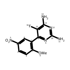 COc1ccc([N+](=O)[O-])cc1-c1nc(N)nc(N)c1F